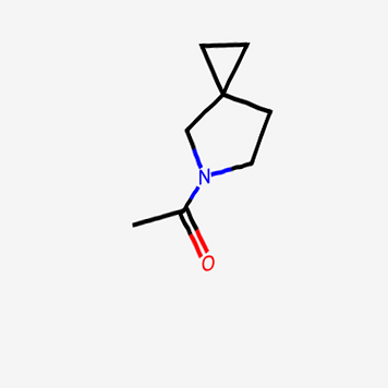 CC(=O)N1CCC2(CC2)C1